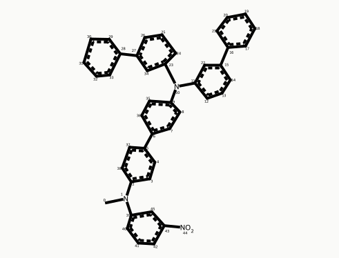 CN(c1ccc(-c2ccc(N(c3cccc(-c4ccccc4)c3)c3cccc(-c4ccccc4)c3)cc2)cc1)c1cccc([N+](=O)[O-])c1